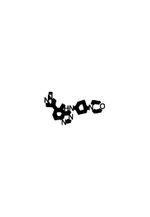 Cc1c(-c2cnn(C)c2)ccc2ncnc(NC3CCC(N4CCOCC4)CC3)c12